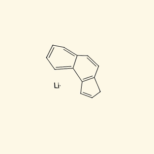 C1=Cc2c(ccc3ccccc23)C1.[Li]